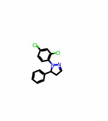 Clc1ccc(N2N=CCC2c2ccccc2)c(Cl)c1